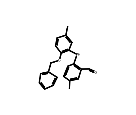 Cc1ccc(Pc2cc(C)ccc2OCc2ccccc2)c(C=O)c1